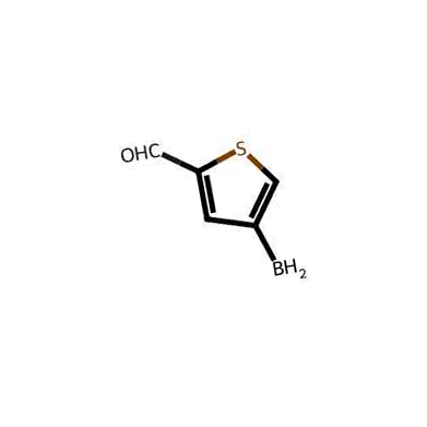 Bc1csc(C=O)c1